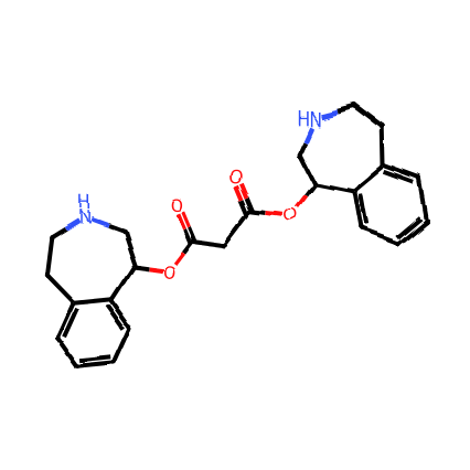 O=C(CC(=O)OC1CNCCc2ccccc21)OC1CNCCc2ccccc21